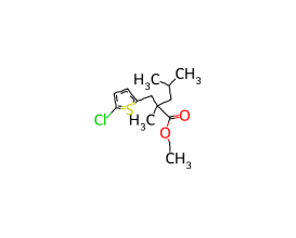 CCOC(=O)C(C)(Cc1ccc(Cl)s1)CC(C)C